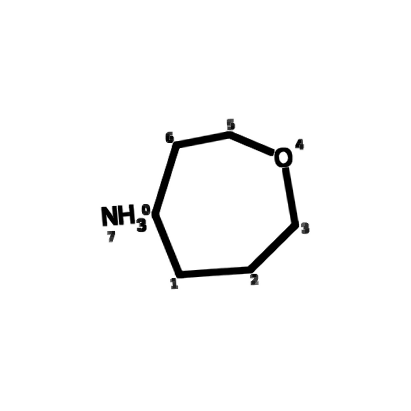 C1CCCOCC1.N